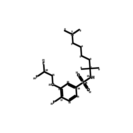 CN(C)CCCCC(C)(C)NS(=O)(=O)c1ccc(F)c(OCC(F)F)c1